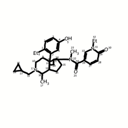 CCc1ccc(O)cc1C12CCN(CC3CC3)C(C)C13CCC(N(C)C(=O)c1ccc(=O)n(CC)c1)C2CC3